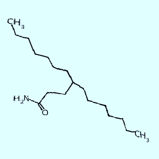 CCCCCCCC(CCCCCCC)CCC(N)=O